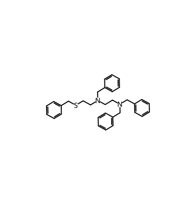 c1ccc(CSCCN(CCN(Cc2ccccc2)Cc2ccccc2)Cc2ccccc2)cc1